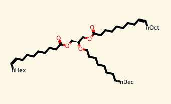 CCCCCC/C=C\CCCCCCCC(=O)OC[C@@H](COC(=O)CCCCCCC/C=C\CCCCCCCC)OCCCCCCCCCCCCCCCCCC